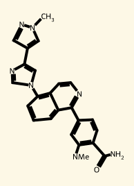 CNc1cc(-c2nccc3c(-n4cnc(-c5cnn(C)c5)c4)cccc23)ccc1C(N)=O